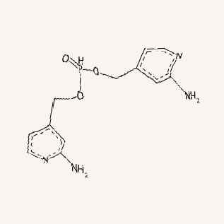 Nc1cc(CO[PH](=O)OCc2ccnc(N)c2)ccn1